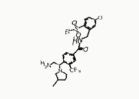 CCS(=O)(=O)c1ccc(Cl)cc1CNC(=O)c1ccc([C@H](CN)N2CCC(C)C2)c(C(F)(F)F)c1